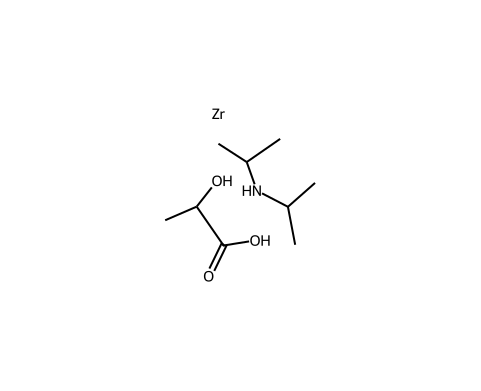 CC(C)NC(C)C.CC(O)C(=O)O.[Zr]